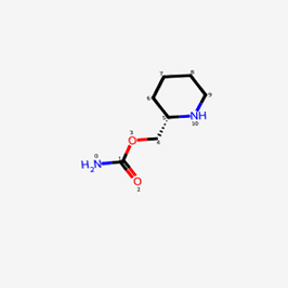 NC(=O)OC[C@@H]1CCCCN1